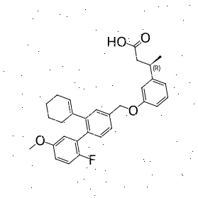 COc1ccc(F)c(-c2ccc(COc3cccc([C@H](C)CC(=O)O)c3)cc2C2=CCCCC2)c1